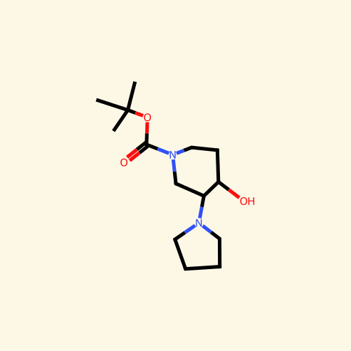 CC(C)(C)OC(=O)N1CCC(O)C(N2CCCC2)C1